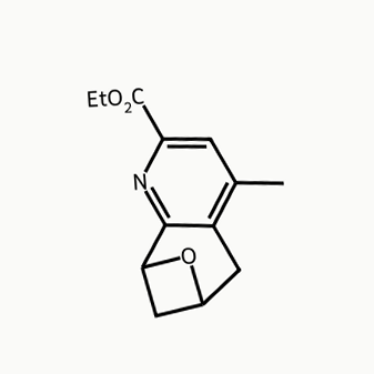 CCOC(=O)c1cc(C)c2c(n1)C1CC(C2)O1